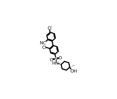 C[C@]1(O)CC[C@@H](NS(=O)(=O)c2ccc(-c3ccc(Cl)cc3C#N)c(Cl)c2)CC1